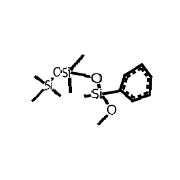 CO[Si](C)(O[Si](C)(C)O[Si](C)(C)C)c1ccccc1